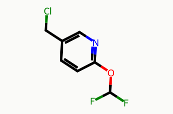 FC(F)Oc1ccc(CCl)cn1